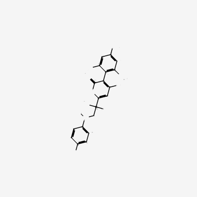 Cc1ccc([S+]([O-])CC(C)(C)c2cc(O)c(-c3c(C)cc(C)cc3C)c(=O)o2)cc1